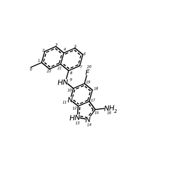 Cc1ccc2cccc(Nc3nc4[nH]nc(N)c4cc3F)c2c1